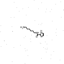 NCCCCCCNC(=O)c1ncc[nH]1